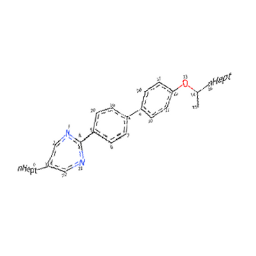 CCCCCCCc1cnc(-c2ccc(-c3ccc(OC(C)CCCCCCC)cc3)cc2)nc1